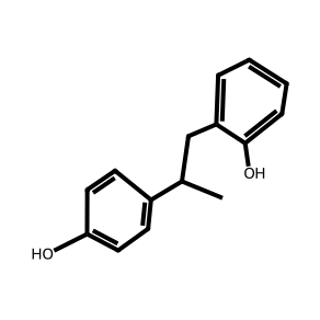 CC(Cc1ccccc1O)c1ccc(O)cc1